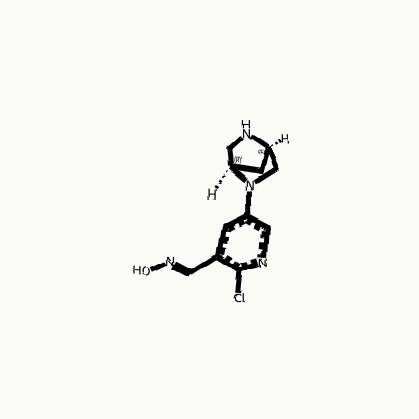 ON=Cc1cc(N2C[C@H]3C[C@@H]2CN3)cnc1Cl